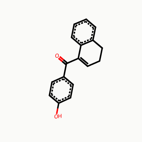 O=C(C1=CCCc2ccccc21)c1ccc(O)cc1